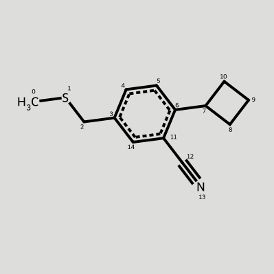 CSCc1ccc(C2CCC2)c(C#N)c1